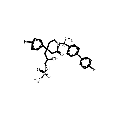 C[C@@H](c1ccc(-c2ccc(F)cc2)cc1)N1CCC(CC(O)CNS(C)(=O)=O)(c2ccc(F)cc2)CC1=O